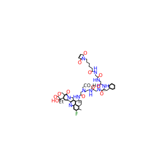 CC[C@@]1(O)C(=O)OCc2c1cc1n(c2=O)Cc2c-1nc1cc(F)c(C)c3c1c2[C@@H](NC(=O)CN(CCNC(=O)CNC(=O)[C@H](Cc1ccccc1)NC(=O)CNC(=O)CNC(=O)CCCCCN1C(=O)C=CC1=O)CC(=O)O)CC3